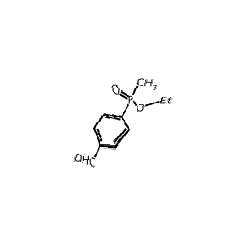 CCOP(C)(=O)c1ccc(C=O)cc1